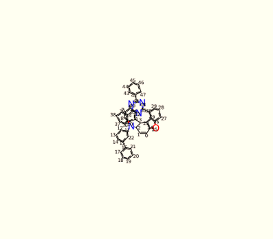 C1=CC2C(c3ccccc3N2c2cccc(-c3ccccc3)c2)c2c1oc1cccc(-c3nc(-c4ccccc4)nc(-c4ccccc4)n3)c21